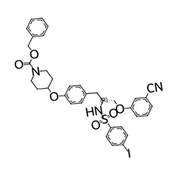 N#Cc1cccc(OC[C@@H](Cc2ccc(OC3CCN(C(=O)OCc4ccccc4)CC3)cc2)NS(=O)(=O)c2ccc(I)cc2)c1